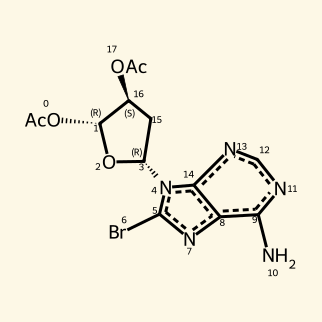 CC(=O)O[C@H]1O[C@@H](n2c(Br)nc3c(N)ncnc32)C[C@@H]1OC(C)=O